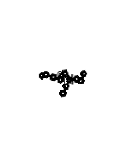 c1ccc(-c2ccc(-c3nc(-c4ccc5c(-c6ccccc6)cccc5c4)nc(-c4cccc5oc6c(-c7ccc(-c8ccc9ccccc9c8)cc7)cccc6c45)n3)cc2)cc1